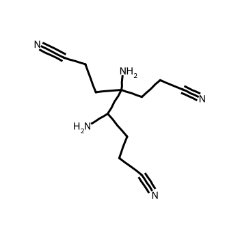 N#CCCC(N)C(N)(CCC#N)CCC#N